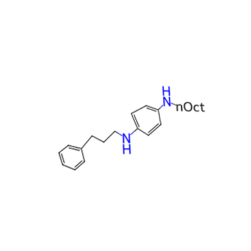 CCCCCCCCNc1ccc(NCCCc2ccccc2)cc1